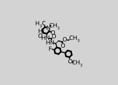 CCOC(=O)C[C@H](NC(=O)Nc1c(O)cc(C)n(C)c1=O)c1cc(-c2cccc(OC)c2)ccc1F